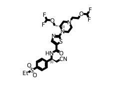 CCS(=O)(=O)c1ccc([C@H](CC#N)NC(=O)c2cnc(N3CCN(CCOC(F)F)C[C@H]3COC(F)F)s2)cc1